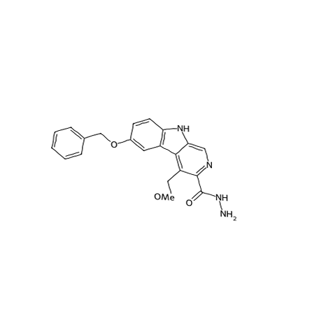 COCc1c(C(=O)NN)ncc2[nH]c3ccc(OCc4ccccc4)cc3c12